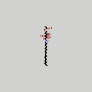 CCCCCCCCCCCCCCCCNC(=O)C(O)C(O)C(O)CCOC(C)O